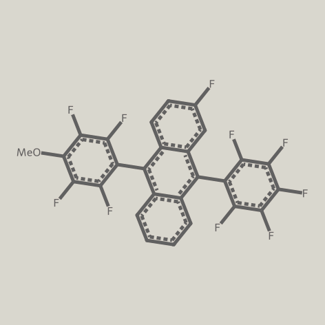 COc1c(F)c(F)c(-c2c3ccccc3c(-c3c(F)c(F)c(F)c(F)c3F)c3cc(F)ccc23)c(F)c1F